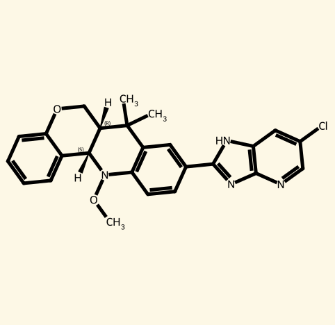 CON1c2ccc(-c3nc4ncc(Cl)cc4[nH]3)cc2C(C)(C)[C@H]2COc3ccccc3[C@H]21